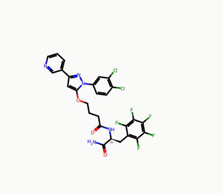 NC(=O)[C@H](Cc1c(F)c(F)c(F)c(F)c1F)NC(=O)CCCOc1cc(-c2cccnc2)nn1-c1ccc(Cl)c(Cl)c1